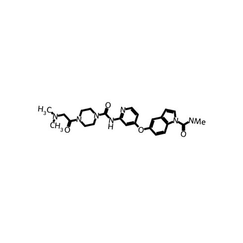 CNC(=O)n1ccc2cc(Oc3ccnc(NC(=O)N4CCN(C(=O)CN(C)C)CC4)c3)ccc21